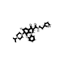 CC(C)N1CCN(c2c(F)cc3c(=O)c(C(=O)NCCC4CCCN4)cn4c3c2Oc2ccccc2-4)CC1